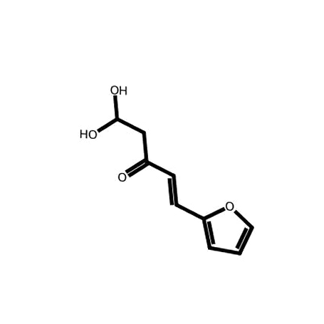 O=C(C=Cc1ccco1)CC(O)O